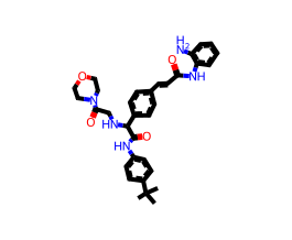 CC(C)(C)c1ccc(NC(=O)C(NCC(=O)N2CCOCC2)c2ccc(C=CC(=O)Nc3ccccc3N)cc2)cc1